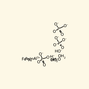 O.O.O=P([O-])([O-])[O-].O=P([O-])([O-])[O-].O=P([O-])([O-])[O-].[Al+3].[Al+3].[Fe+3].[Fe+3].[OH-].[OH-].[OH-]